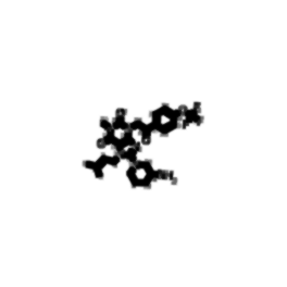 CC(C)=CCn1c(N2CCCC(N)C2)nc2c1c(=O)n(C)c(=O)n2CC(=O)c1ccc(OC(F)(F)F)cc1